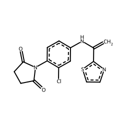 C=C(Nc1ccc(N2C(=O)CCC2=O)c(Cl)c1)c1nccs1